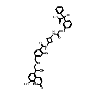 O=C(COc1cccc(C(O)(C(=O)O)c2ccccc2)c1)NC1CC(NC(=O)c2ccc(CNCC(O)c3ccc(O)c4[nH]c(=O)ccc34)cc2Br)C1